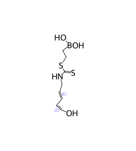 O/C=C\C=C\CNC(=S)SCCB(O)O